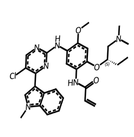 C=CC(=O)Nc1cc(Nc2ncc(Cl)c(-c3cn(C)c4ccccc34)n2)c(OC)cc1O[C@@H](CC)CN(C)C